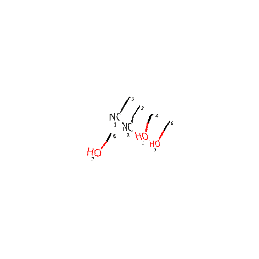 CC#N.CC#N.CO.CO.CO